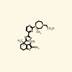 C[C@H]1CN(CC(=O)O)CCCN1c1nccc(-c2noc([C@@]3(C)CCCc4sc(N)c(C#N)c43)n2)n1